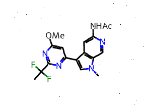 COc1cc(-c2cn(C)c3cnc(NC(C)=O)cc23)nc(C(C)(F)F)n1